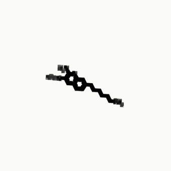 CCCCCc1cc2ccc(CCCCCCP)cc2nc1N